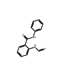 O=CNc1ccccc1C(=O)Nc1ccccc1